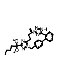 C=CCCc1nc(C(CCCC)(OC)OC)nn1Cc1ccc(-c2ccccc2-c2nnn[nH]2)cc1